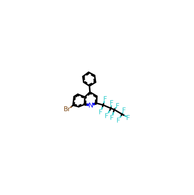 FC(F)(F)C(F)(F)C(F)(F)C(F)(F)c1cc(-c2ccccc2)c2ccc(Br)cc2n1